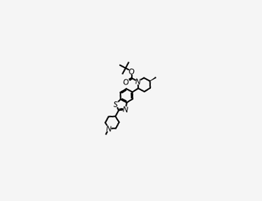 C[C@H]1CCC(c2ccc3sc(C4CCN(C)CC4)nc3c2)N(C(=O)OC(C)(C)C)C1